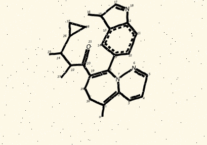 CC1=C2C=CC=NN2C(c2ccc3c(c2)C(C)C=N3)=C(C(=O)C(C)C(C)C2CC2)CC1